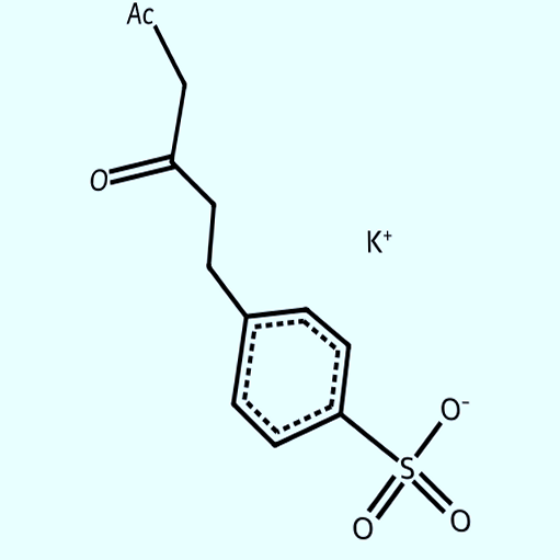 CC(=O)CC(=O)CCc1ccc(S(=O)(=O)[O-])cc1.[K+]